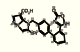 CCCc1cn2ncc(C(=O)O)c2n1Cc1ccc(-c2ccccc2-c2nc(=O)o[nH]2)cc1